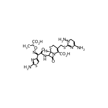 C[C@@H](O/N=C(\C(=O)NC1C(=O)N2C(C(=O)O)=C(CSC3=NC(N)=CCN3N)CS[C@@H]12)c1csc(N)n1)C(=O)O